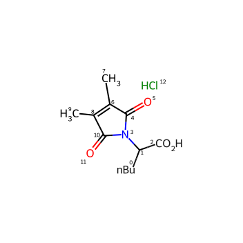 CCCCC(C(=O)O)N1C(=O)C(C)=C(C)C1=O.Cl